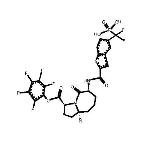 O=C(N[C@H]1CCC[C@H]2CC[C@@H](C(=O)Oc3c(F)c(F)c(F)c(F)c3F)N2C1=O)c1cc2cc(C(F)(F)P(=O)(O)O)ccc2s1